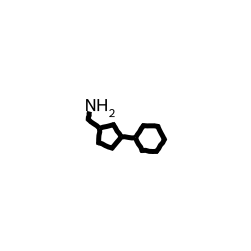 NCC1CCC(C2CCCCC2)C1